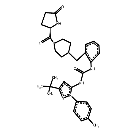 Cc1ccc(-n2nc(C(C)(C)C)cc2NC(=O)Nc2ccccc2CC2CCN(C(=O)[C@H]3CCC(=O)N3)CC2)cc1